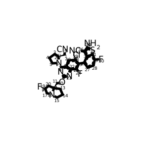 N#CC[C@@H]1CCCN1c1nc(OC[C@@]23CCCN2C[C@H](F)C3)nc2c(F)c(-c3ccc(F)c4sc(N)c(C#N)c34)c(Cl)cc12